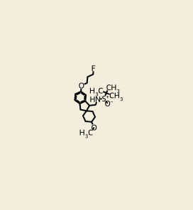 COC1CCC2(CC1)Cc1ccc(OCCCF)cc1C2CN[S+]([O-])C(C)(C)C